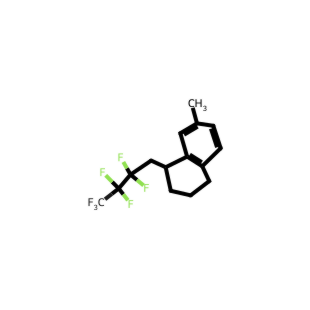 Cc1ccc2c(c1)C(CC(F)(F)C(F)(F)C(F)(F)F)CCC2